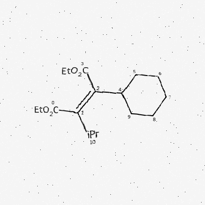 CCOC(=O)C(=C(C(=O)OCC)C1CCCCC1)C(C)C